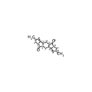 Cc1cc2c(=O)c3cc4c(cc3c2s1)c(=O)c1cc(C)sc14